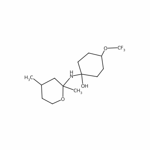 CC1CCOC(C)(NC2(O)CCC(OC(F)(F)F)CC2)C1